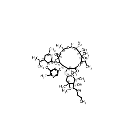 CCCNC[C@]1(O)[C@H](C)O[C@@H](O[C@H]2[C@H](C)[C@@H](O[C@@H]3O[C@H](C)C[C@H](N(C)C)[C@H]3Oc3cccnc3C)[C@](C)(O)C[C@@H](C)CN[C@H](C)[C@@H](O)[C@](C)(O)[C@@H](CC)OC(=O)[C@@H]2C)C[C@@]1(C)OC